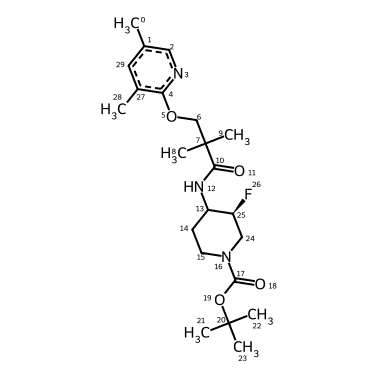 Cc1cnc(OCC(C)(C)C(=O)NC2CCN(C(=O)OC(C)(C)C)C[C@@H]2F)c(C)c1